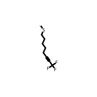 [CH2]SCCCCCC#CC(F)(F)F